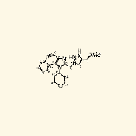 COCC1=CN(Cc2nc3cnc4ccccc4c3n2C2CCOCC2)NN1